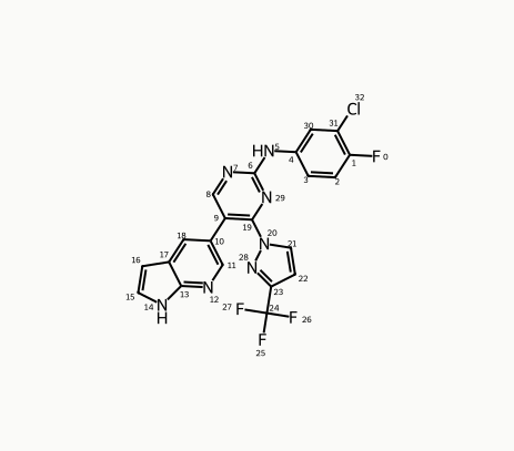 Fc1ccc(Nc2ncc(-c3cnc4[nH]ccc4c3)c(-n3ccc(C(F)(F)F)n3)n2)cc1Cl